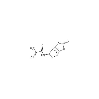 C=C(C)C(=O)NC1CC2CC1C1OC(=O)OC21